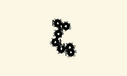 c1cc(-c2ccc(-n3c4ccccc4c4ccncc43)cc2)nc(-c2cccc(-c3cccc4cccnc34)n2)c1